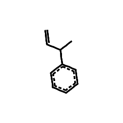 [CH]=CC(C)c1ccccc1